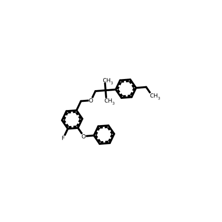 CCc1ccc(C(C)(C)COCc2ccc(F)c(Oc3ccccc3)c2)cc1